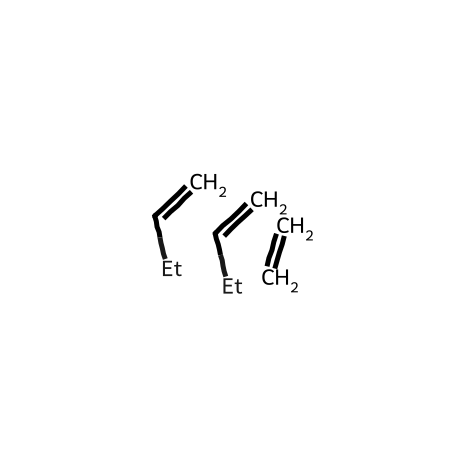 C=C.C=CCC.C=CCC